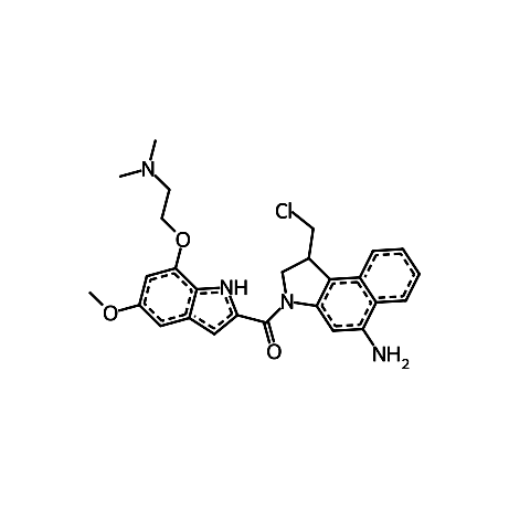 COc1cc(OCCN(C)C)c2[nH]c(C(=O)N3CC(CCl)c4c3cc(N)c3ccccc43)cc2c1